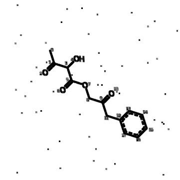 CC(=O)C(O)C(=O)OCC(=O)Cc1ccccc1